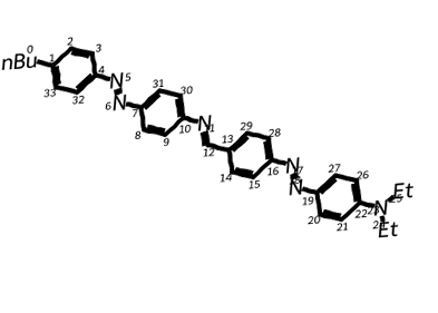 CCCCc1ccc(N=Nc2ccc(N=Cc3ccc(N=Nc4ccc(N(CC)CC)cc4)cc3)cc2)cc1